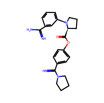 N=C(N)c1cccc(N2CCC[C@H]2C(=O)Oc2ccc(C(=N)N3CCCC3)cc2)c1